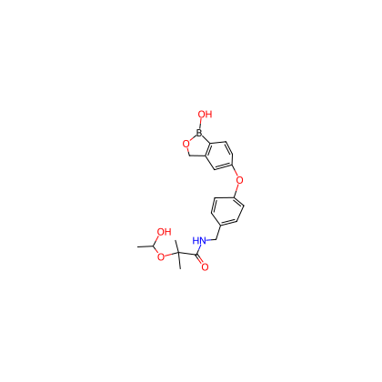 CC(O)OC(C)(C)C(=O)NCc1ccc(Oc2ccc3c(c2)COB3O)cc1